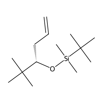 C=CC[C@H](O[Si](C)(C)C(C)(C)C)C(C)(C)C